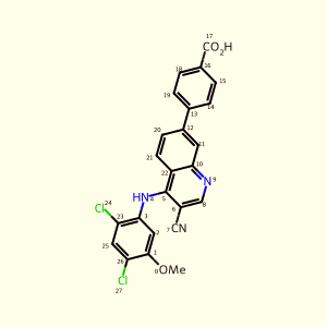 COc1cc(Nc2c(C#N)cnc3cc(-c4ccc(C(=O)O)cc4)ccc23)c(Cl)cc1Cl